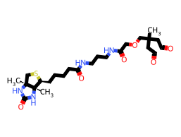 CC(CC=O)(CC=O)COCC(=O)NCCCNC(=O)CCCC[C@@H]1SC[C@]2(C)NC(=O)N[C@]12C